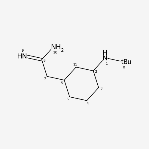 CC(C)(C)NC1CCCC(CC(=N)N)C1